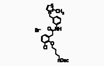 CCCCCCCCCCCCCCOc1c(Cl)cccc1CC(=O)Nc1cccc(C[n+]2ccsc2C)c1.[Br-]